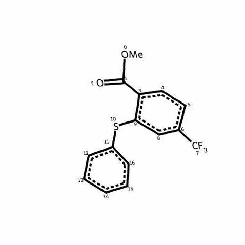 COC(=O)c1ccc(C(F)(F)F)cc1Sc1ccccc1